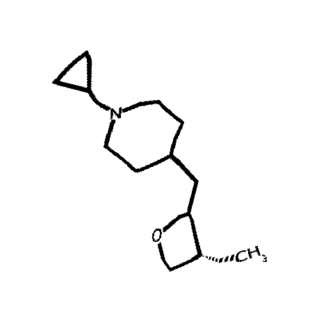 C[C@@H]1COC1CC1CCN(C2CC2)CC1